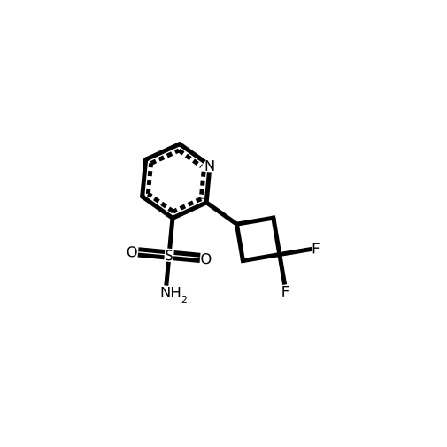 NS(=O)(=O)c1cccnc1C1CC(F)(F)C1